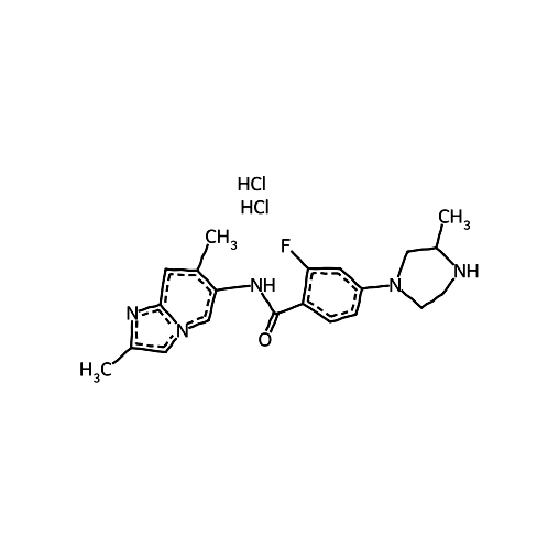 Cc1cn2cc(NC(=O)c3ccc(N4CCNC(C)C4)cc3F)c(C)cc2n1.Cl.Cl